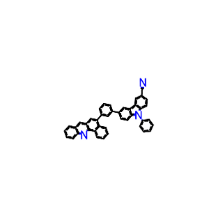 N#Cc1ccc2c(c1)c1cc(-c3cccc(-c4cc5cc6ccccc6nc5c5ccccc45)c3)ccc1n2-c1ccccc1